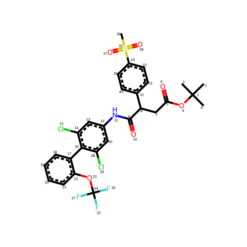 CC(C)(C)OC(=O)CC(C(=O)Nc1cc(Cl)c(-c2ccccc2OC(F)(F)F)c(Cl)c1)c1ccc(S(C)(=O)=O)cc1